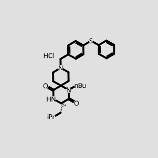 CCCCN1C(=O)[C@H](CC(C)C)NC(=O)C12CCN(Cc1ccc(Sc3ccccc3)cc1)CC2.Cl